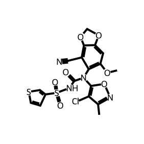 COc1cc2c(c(C#N)c1N(C(=O)NS(=O)(=O)c1ccsc1)c1onc(C)c1Cl)OCO2